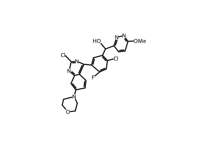 COc1ccc(C(O)c2cc(-c3nc(Cl)nc4cc(N5CCOCC5)ccc34)c(F)cc2Cl)nn1